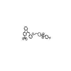 O=[N+]([O-])c1ccc2c(c1)C(=Cc1ccccc1OCCC1CCN(S(=O)(=O)c3ccc(F)cc3)CC1)c1ccccc1-2